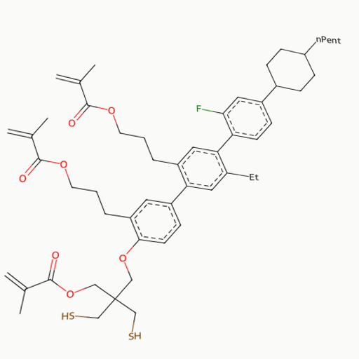 C=C(C)C(=O)OCCCc1cc(-c2cc(CC)c(-c3ccc(C4CCC(CCCCC)CC4)cc3F)cc2CCCOC(=O)C(=C)C)ccc1OCC(CS)(CS)COC(=O)C(=C)C